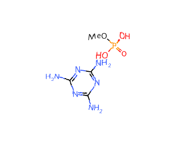 COP(=O)(O)O.Nc1nc(N)nc(N)n1